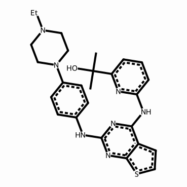 CCN1CCN(c2ccc(Nc3nc(Nc4cccc(C(C)(C)O)n4)c4ccsc4n3)cc2)CC1